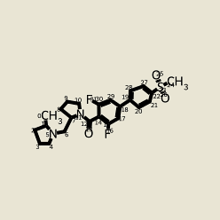 CC1CCCN1CC1CCCN1C(=O)c1c(F)cc(-c2ccc(S(C)(=O)=O)cc2)cc1F